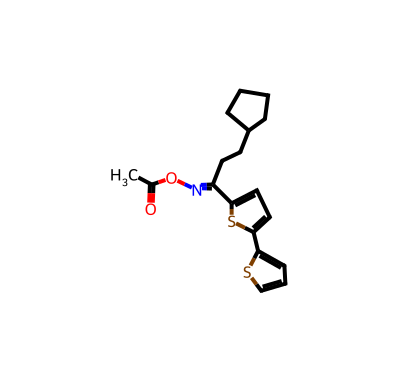 CC(=O)O/N=C(\CCC1CCCC1)c1ccc(-c2cccs2)s1